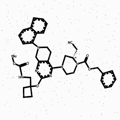 CC(C)(C)OC(=O)NCC1(Oc2nc3c(c(N4CCN(C(=O)OCc5ccccc5)[C@@H](CC#N)C4)n2)CCN(c2cccc4ccccc24)C3)CCC1